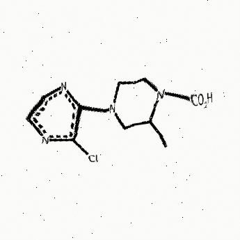 CC1CN(c2nccnc2Cl)CCN1C(=O)O